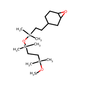 C[Si](C)(CC[Si](C)(C)O[Si](C)(C)CCC1CCC2OC2C1)O[SiH3]